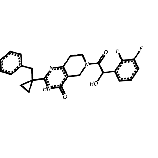 O=C(C(O)c1cccc(F)c1F)N1CCc2nc(C3(Cc4ccccc4)CC3)[nH]c(=O)c2C1